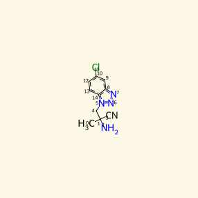 CC(N)(C#N)Cn1nnc2cc(Cl)ccc21